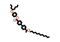 CCCCCCCCCCCCOC(C)c1ccc(-c2ccc(C(=O)Oc3ccc(OC(CCC)CCCC)cc3)cc2)cc1